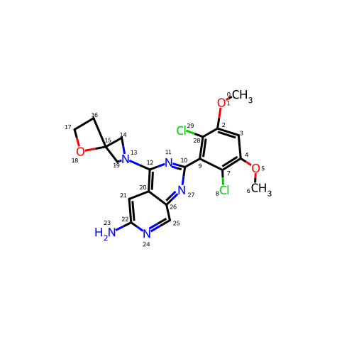 COc1cc(OC)c(Cl)c(-c2nc(N3CC4(CCO4)C3)c3cc(N)ncc3n2)c1Cl